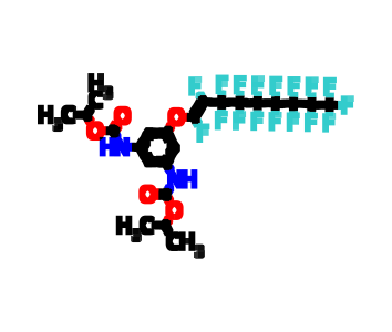 CC(C)OC(=O)Nc1cc(NC(=O)OC(C)C)cc(OC(F)=C(F)C(F)(F)C(F)(F)C(F)(F)C(F)(F)C(F)(F)C(F)(F)C(F)(F)F)c1